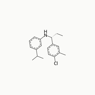 CC[C@@H](Nc1cccc(C(C)C)c1)c1ccc(Cl)c(C)c1